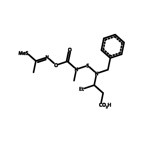 CCC(CC(=O)O)N(Cc1ccccc1)SN(C)C(=O)ON=C(C)SC